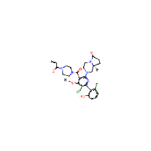 C=CC(=O)N1CCN2C(=O)c3c(N4CCN5C(=O)CC[C@H]5C4)nc(-c4c(O)cccc4F)c(Cl)c3OC[C@H]2C1